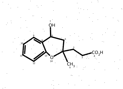 CC1(CCC(=O)O)CC(O)c2ccccc2O1